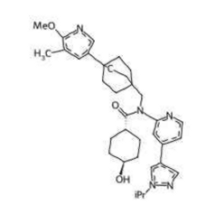 COc1ncc(C23CCC(CN(c4cc(-c5cnn(C(C)C)c5)ccn4)C(=O)[C@H]4CC[C@H](O)CC4)(CC2)CC3)cc1C